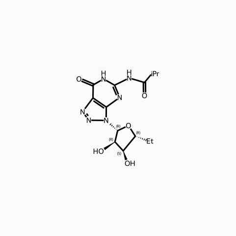 CC[C@H]1O[C@@H](n2nnc3c(=O)[nH]c(NC(=O)C(C)C)nc32)[C@H](O)[C@@H]1O